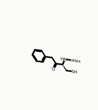 CCCCCCN[C@@H](CS)C(=O)Cc1ccccc1